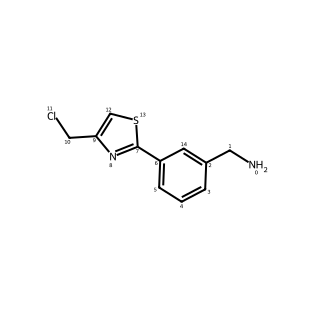 NCc1cccc(-c2nc(CCl)cs2)c1